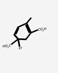 CCC1(C(=O)O)C=CC(C)=C(C(=O)O)C1